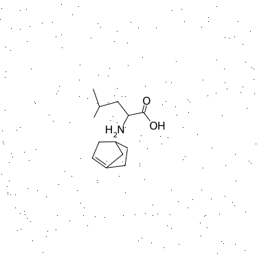 C1=C2CCC(C1)C2.CC(C)CC(N)C(=O)O